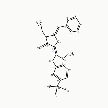 CCn1c(=Cc2ccccn2)s/c(=C2/Sc3cc(C(F)(F)F)ccc3N2C)c1=O